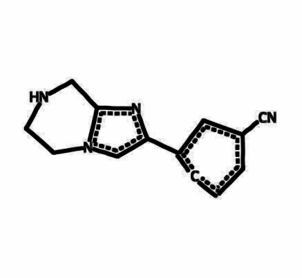 N#Cc1cccc(-c2cn3c(n2)CNCC3)c1